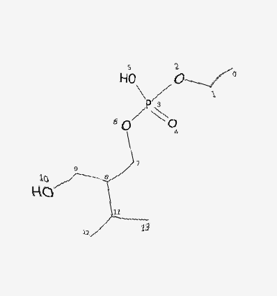 CCOP(=O)(O)OCC(CO)C(C)C